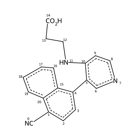 N#Cc1ccc(-c2cnccc2NCCC(=O)O)c2ccccc12